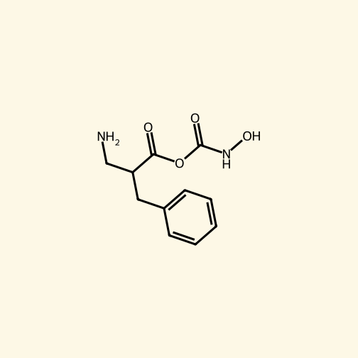 NCC(Cc1ccccc1)C(=O)OC(=O)NO